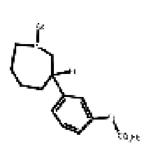 CCOC(=O)Oc1cccc(C2(CC)CCCCN(C(C)=O)C2)c1